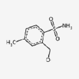 Cc1ccc(S(N)(=O)=O)c(C[O])c1